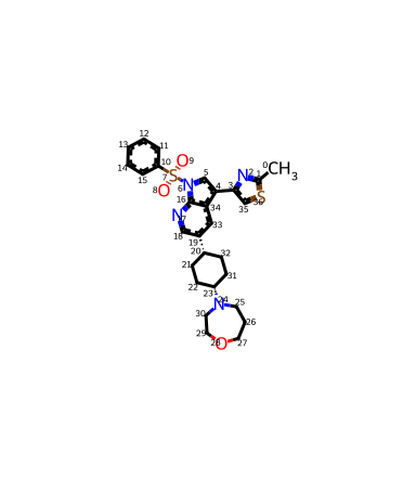 Cc1nc(-c2cn(S(=O)(=O)c3ccccc3)c3ncc([C@H]4CC[C@@H](N5CCCOCC5)CC4)cc23)cs1